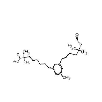 Cc1cc(CCCCCCC(C)(C)C(=O)O)cc(CCCCC(C)(C)OC=O)c1